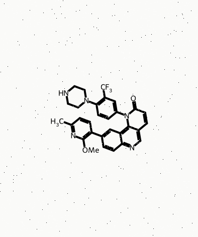 COc1nc(C)ccc1-c1ccc2ncc3ccc(=O)n(-c4ccc(N5CCNCC5)c(C(F)(F)F)c4)c3c2c1